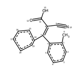 Cc1ccccc1C(=C(C#N)C(=O)O)c1ccccc1